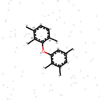 Cc1cc(C)c(C)c(Oc2c(C)ccc(C)c2C)c1